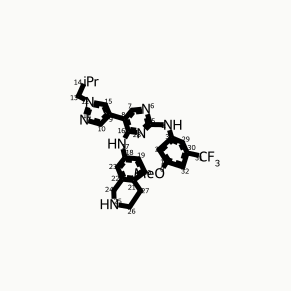 COc1cc(Nc2ncc(-c3cnn(CC(C)C)c3)c(Nc3ccc4c(c3)CNCC4)n2)cc(C(F)(F)F)c1